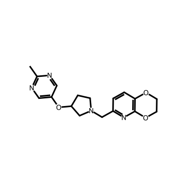 Cc1ncc(OC2CCN(Cc3ccc4c(n3)OCCO4)C2)cn1